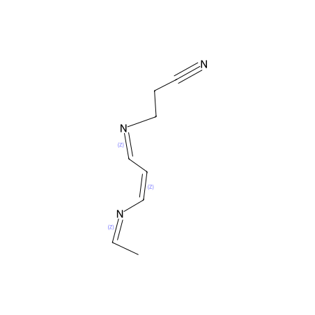 C\C=N/C=C\C=N/CCC#N